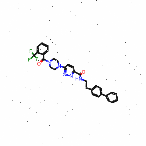 O=C(NCCc1ccc(-c2ccccc2)cc1)c1ccc(N2CCN(C(=O)c3ccccc3C(F)(F)F)CC2)nn1